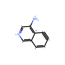 Nc1cncc2ccc#cc12